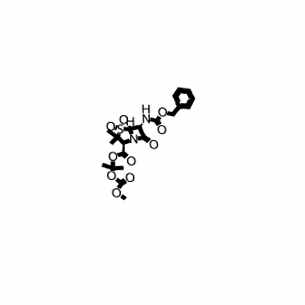 COC(=O)OC(C)(C)OC(=O)[C@@H]1N2C(=O)[C@@H](NC(=O)OCc3ccccc3)[C@H]2S(=O)(=O)C1(C)C